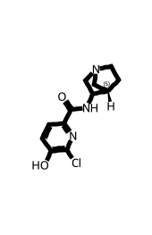 O=C(NC1CN2CC[C@H]1C2)c1ccc(O)c(Cl)n1